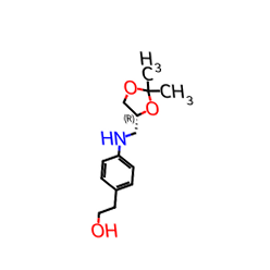 CC1(C)OC[C@@H](CNc2ccc(CCO)cc2)O1